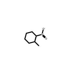 [CH2]C1CCCCC1[N+](=O)[O-]